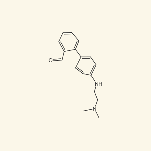 CN(C)CCNc1ccc(-c2ccccc2C=O)cc1